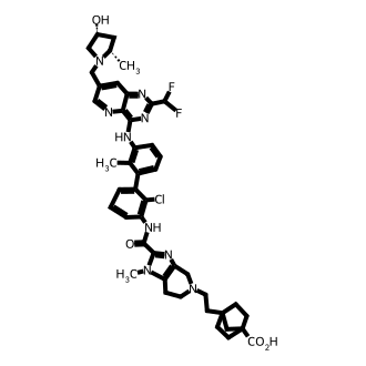 Cc1c(Nc2nc(C(F)F)nc3cc(CN4C[C@H](O)C[C@@H]4C)cnc23)cccc1-c1cccc(NC(=O)c2nc3c(n2C)CCN(CCC24CCC(C(=O)O)(CC2)C4)C3)c1Cl